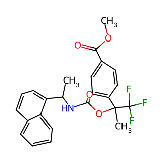 COC(=O)c1ccc(C(C)(OC(=O)NC(C)c2cccc3ccccc23)C(F)(F)F)cc1